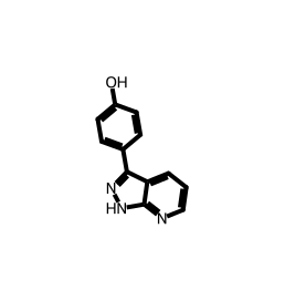 Oc1ccc(-c2n[nH]c3ncccc23)cc1